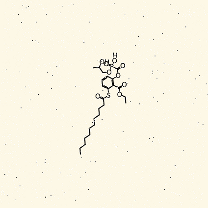 CCCCCCCCCCCC(=O)Sc1cccc(OC(=O)P(=O)(O)OCC(C)O)c1C(=O)OCC